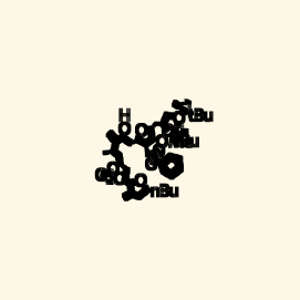 C=C1C[C@H](CCCC)OC1CC[C@H](C[C@@H](C)C(=C)C(O)C[C@@H]1O[C@H](C[C@@H](CO[Si](C)(C)C(C)(C)C)O[Si](C)(C)C(C)(C)C)[C@H](OC)[C@H]1CS(=O)(=O)c1ccccc1)OS(C)(=O)=O